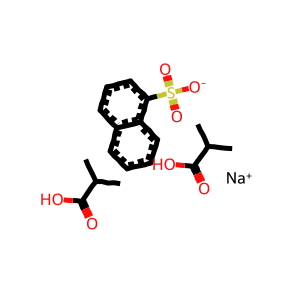 CC(C)C(=O)O.CC(C)C(=O)O.O=S(=O)([O-])c1cccc2ccccc12.[Na+]